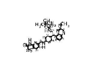 COc1cnc2cccc([C@@H](CNC(=O)OC(C)(C)C)C3CCC(NCc4ccc5c(n4)NC(=O)CS5)CC3)c2n1